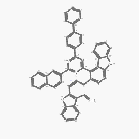 C=Cc1c(/C=C\Cc2ccc3oc4ccccc4c3c2-c2nc(-c3ccc(-c4ccccc4)cc3)nc(-c3ccc4ccccc4c3)n2)oc2ccccc12